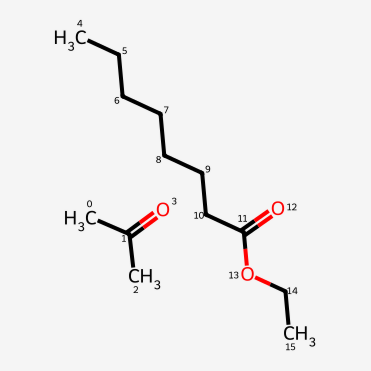 CC(C)=O.CCCCCCCC(=O)OCC